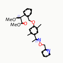 CO/C=C(\C(=O)OC)c1ccccc1COc1cc(C)c(/C(C)=N/OCc2ccccn2)cc1C